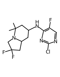 CC1(C)CC(Nc2nc(Cl)ncc2F)CC2CC(F)(F)CN21